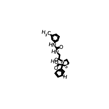 Cc1cccc(NC(=O)NCC(=O)N2CCSC2(C(=O)O)C2C[C@@H]3C=CC2C3)c1